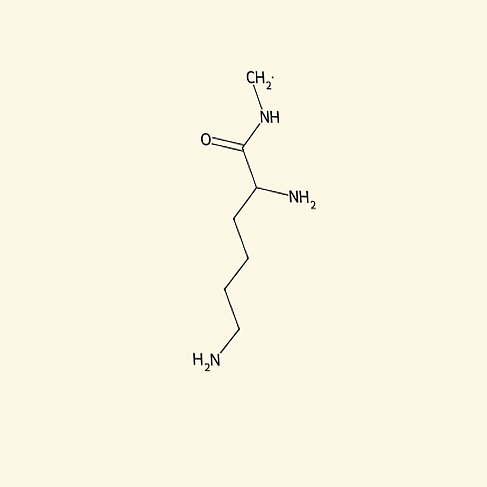 [CH2]NC(=O)C(N)CCCCN